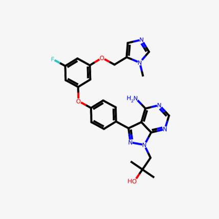 Cn1cncc1COc1cc(F)cc(Oc2ccc(-c3nn(CC(C)(C)O)c4ncnc(N)c34)cc2)c1